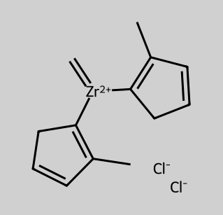 [CH2]=[Zr+2]([C]1=C(C)C=CC1)[C]1=C(C)C=CC1.[Cl-].[Cl-]